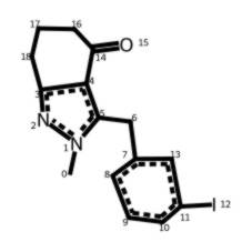 Cn1nc2c(c1Cc1cccc(I)c1)C(=O)CCC2